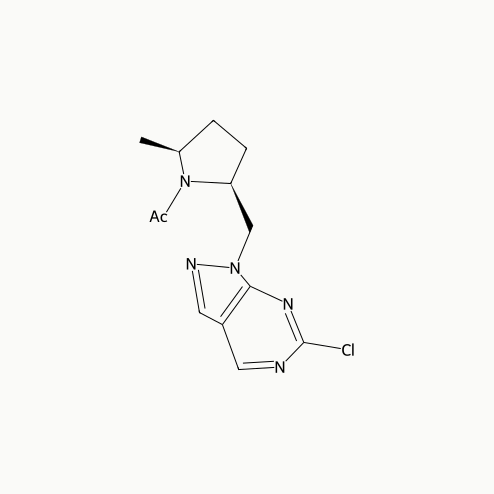 CC(=O)N1[C@H](Cn2ncc3cnc(Cl)nc32)CC[C@@H]1C